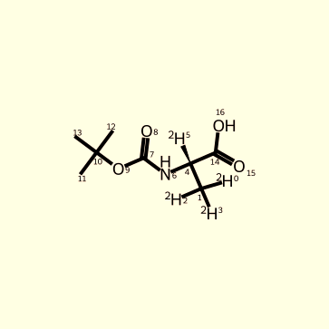 [2H]C([2H])([2H])[C@]([2H])(NC(=O)OC(C)(C)C)C(=O)O